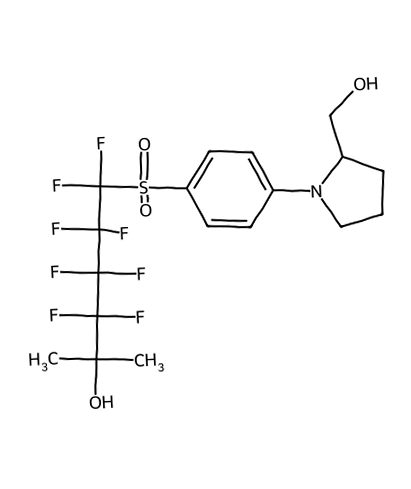 CC(C)(O)C(F)(F)C(F)(F)C(F)(F)C(F)(F)S(=O)(=O)c1ccc(N2CCCC2CO)cc1